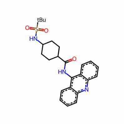 CC(C)(C)S(=O)(=O)NC1CCC(C(=O)Nc2c3ccccc3nc3ccccc23)CC1